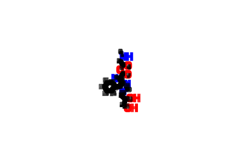 CNCC(=O)OC(=O)c1nc2ccccc2c2c1ncn2CC(O)CO